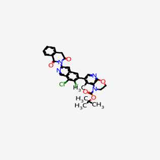 Cc1c(-c2cc3cc(N4C(=O)Cc5ccccc5C4=O)ncc3c(Cl)c2F)cnc2c1N(C(=O)OC(C)(C)C)CCO2